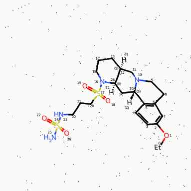 CCOc1ccc2c(c1)CCN1C[C@@H]3CCCN(S(=O)(=O)CCCNS(N)(=O)=O)[C@@H]3C[C@@H]21